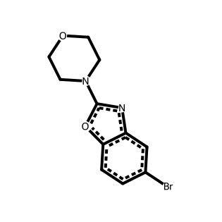 Brc1ccc2oc(N3CCOCC3)nc2c1